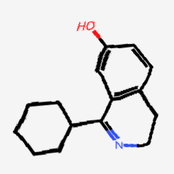 Oc1ccc2c(c1)C(C1CCCCC1)=NCC2